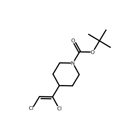 CC(C)(C)OC(=O)N1CCC(C(Cl)=CCl)CC1